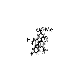 COC(=O)c1cc2c3c(c1)C(N)C(c1cc4cc(F)ccc4n1CC1CC1)C3(N)CCO2